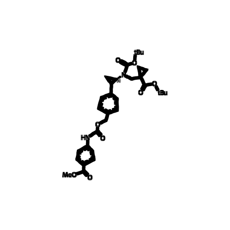 COC(=O)c1ccc(NC(=O)OCc2ccc(C3C[C@@H]3N(CC3(C(=O)OC(C)(C)C)CC3)C(=O)OC(C)(C)C)cc2)cc1